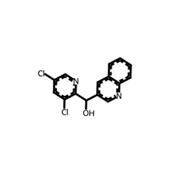 OC(c1cnc2ccccc2c1)c1ncc(Cl)cc1Cl